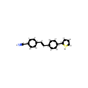 N#Cc1ccc(C=Cc2ccc(-c3cccs3)cc2)cc1